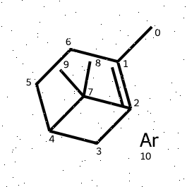 CC1=C2CC(CC1)C2(C)C.[Ar]